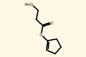 COCCC(=O)OC1=CCCC1